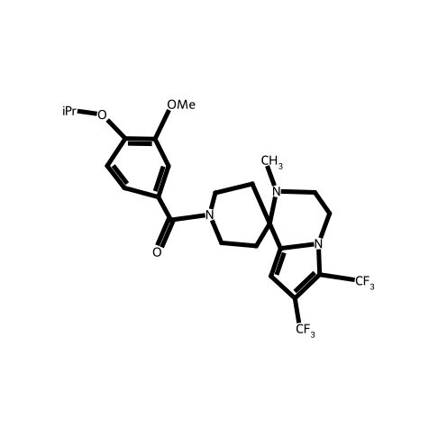 COc1cc(C(=O)N2CCC3(CC2)c2cc(C(F)(F)F)c(C(F)(F)F)n2CCN3C)ccc1OC(C)C